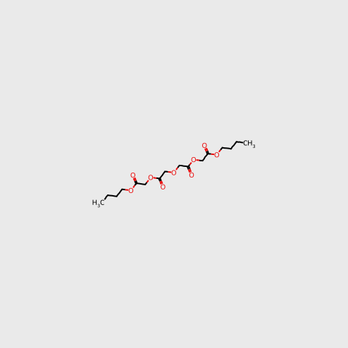 CCCCOC(=O)COC(=O)COCC(=O)OCC(=O)OCCCC